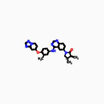 C=C1C(=O)N(c2ccc3ncnc(Nc4ccc(Oc5ccn6ncnc6c5)c(C)c4)c3c2)C[C@@H]1C